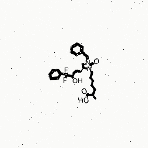 CC(CCCCCN1C(=O)N(Cc2ccccc2)C[C@@H]1C=CC(O)C(F)(F)c1ccccc1)C(=O)O